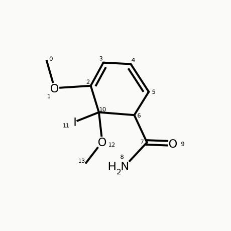 COC1=CC=CC(C(N)=O)C1(I)OC